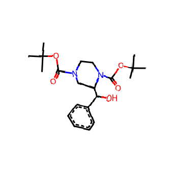 CC(C)(C)OC(=O)N1CCN(C(=O)OC(C)(C)C)C(C(O)c2ccccc2)C1